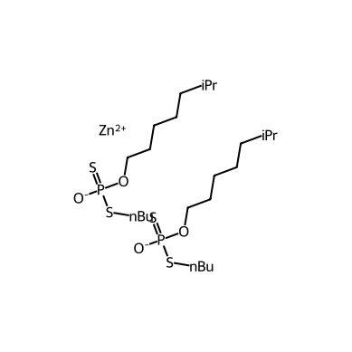 CCCCSP([O-])(=S)OCCCCCC(C)C.CCCCSP([O-])(=S)OCCCCCC(C)C.[Zn+2]